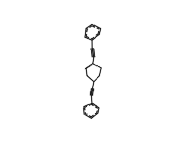 C(#CC1CCC(C#Cc2ccccc2)CC1)c1ccccc1